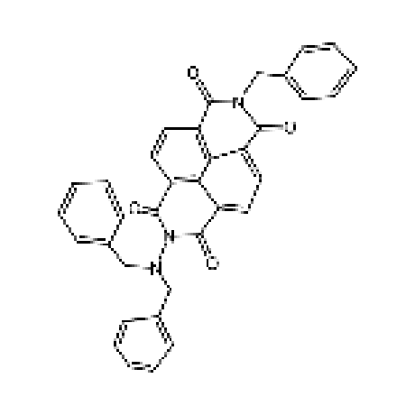 O=C1c2ccc3c4c(ccc(c24)C(=O)N1Cc1ccccc1)C(=O)N(N(Cc1ccccc1)Cc1ccccc1)C3=O